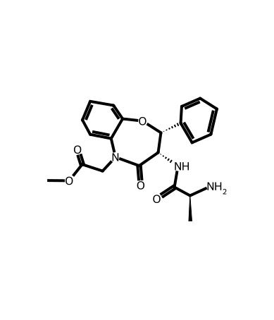 COC(=O)CN1C(=O)[C@@H](NC(=O)[C@H](C)N)[C@@H](c2ccccc2)Oc2ccccc21